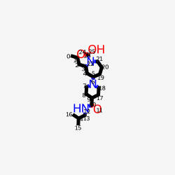 CCCC1CC(N2CCC(C(=O)NCC(C)C)CC2)CCCN1C(=O)O